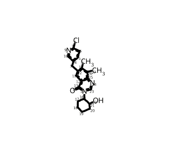 Cc1c(Cc2ccc(Cl)nc2)cc2c(=O)n(C3CCCCC3O)cnc2c1C